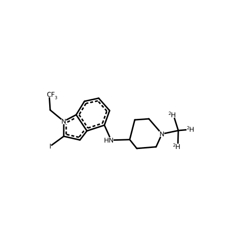 [2H]C([2H])([2H])N1CCC(Nc2cccc3c2cc(I)n3CC(F)(F)F)CC1